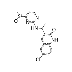 CC(Nc1nccc([S+](C)[O-])n1)c1cc2cc(Cl)ccc2[nH]c1=O